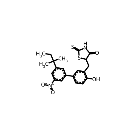 CCC(C)(C)c1cc(-c2ccc(O)c(CC3SC(=S)NC3=O)c2)cc([N+](=O)[O-])c1